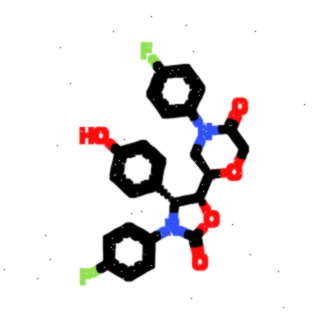 O=C1CO[C@@H]([C@H]2OC(=O)N(c3ccc(F)cc3)[C@@H]2c2ccc(O)cc2)CN1c1ccc(F)cc1